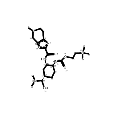 CN1CCc2nc(C(=O)N[C@@H]3C[C@@H](C(O)N(C)C)CC[C@@H]3NC(=O)OCC[Si](C)(C)C)sc2C1